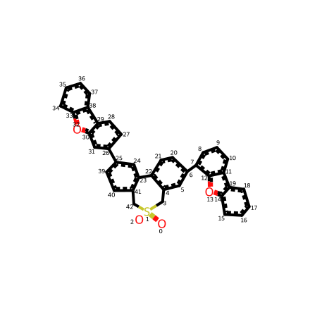 O=S1(=O)Cc2cc(-c3cccc4c3oc3ccccc34)ccc2-c2cc(-c3ccc4c(c3)oc3ccccc34)ccc2C1